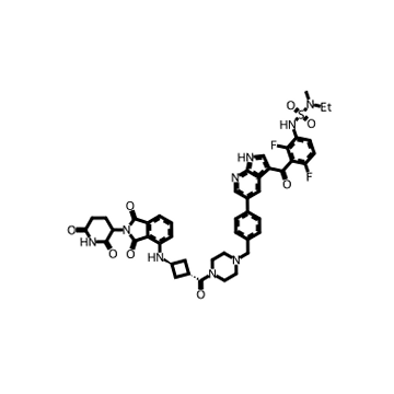 CCN(C)S(=O)(=O)Nc1ccc(F)c(C(=O)c2c[nH]c3ncc(-c4ccc(CN5CCN(C(=O)[C@H]6C[C@H](Nc7cccc8c7C(=O)N(C7CCC(=O)NC7=O)C8=O)C6)CC5)cc4)cc23)c1F